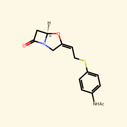 CC(=O)Nc1ccc(SCC=C2CN3C(=O)C[C@H]3O2)cc1